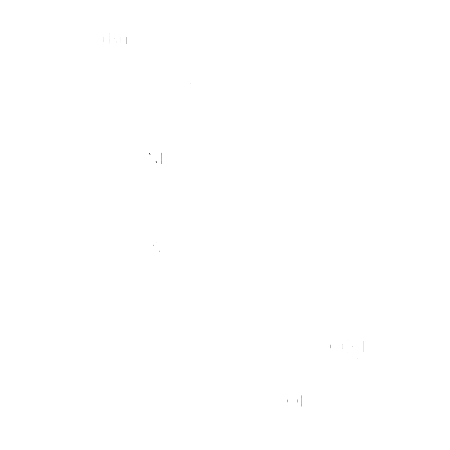 CC(C)(C)OC(=O)NCc1ccc(-c2cccc(C(O)(C(=O)O)c3ccccc3)c2)s1